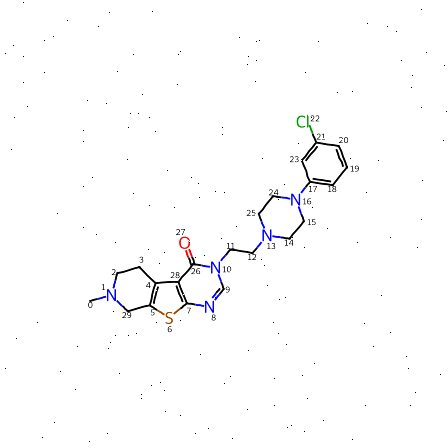 CN1CCc2c(sc3ncn(CCN4CCN(c5cccc(Cl)c5)CC4)c(=O)c23)C1